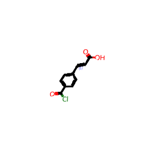 O=C(O)/C=C/c1ccc(C(=O)Cl)cc1